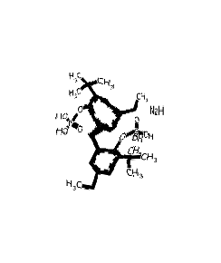 CCc1cc(Cc2cc(CC)cc(C(C)(C)C)c2OP(=O)(O)O)c(OP(=O)(O)O)c(C(C)(C)C)c1.[NaH]